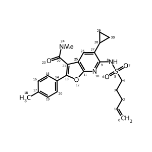 C=CCCCS(=O)(=O)Nc1nc2oc(-c3ccc(C)cc3)c(C(=O)NC)c2cc1C1CC1